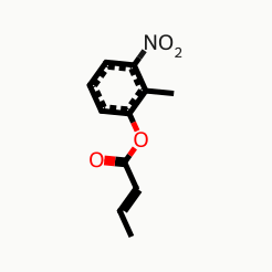 CC=CC(=O)Oc1cccc([N+](=O)[O-])c1C